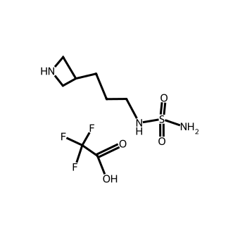 NS(=O)(=O)NCCCC1CNC1.O=C(O)C(F)(F)F